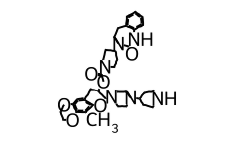 Cc1cc(C[C@@H](OC(=O)N2CCC(N3CCc4ccccc4NC3=O)CC2)C(=O)N2CCN(C3CCNCC3)CC2)cc2c1OCCO2